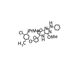 COc1nc(Nc2ccccc2)nc(OC)c1NC(=O)c1ccc(Oc2cc(C(C)C)c(Cl)cc2C)o1